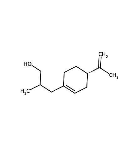 C=C(C)[C@@H]1CC=C(CC(C)CO)CC1